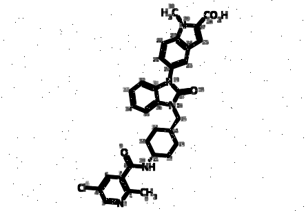 Cc1ncc(Cl)cc1C(=O)N[C@H]1CC[C@H](Cn2c(=O)n(-c3ccc4c(c3)cc(C(=O)O)n4C)c3ccccc32)CC1